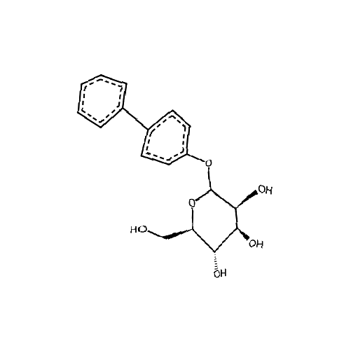 OC[C@H]1OC(Oc2ccc(-c3ccccc3)cc2)[C@@H](O)[C@@H](O)[C@@H]1O